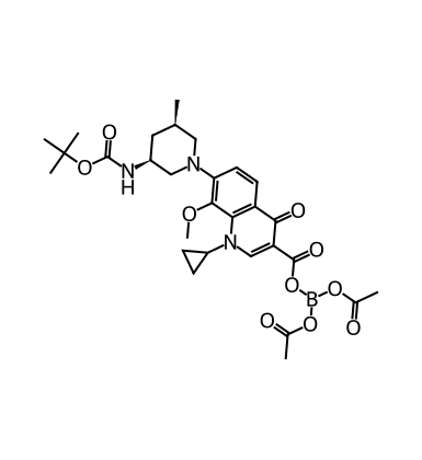 COc1c(N2C[C@H](C)C[C@H](NC(=O)OC(C)(C)C)C2)ccc2c(=O)c(C(=O)OB(OC(C)=O)OC(C)=O)cn(C3CC3)c12